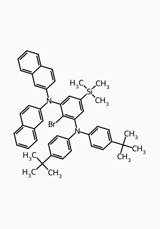 CC(C)(C)c1ccc(N(c2ccc(C(C)(C)C)cc2)c2cc([Si](C)(C)C)cc(N(c3ccc4ccccc4c3)c3ccc4ccccc4c3)c2Br)cc1